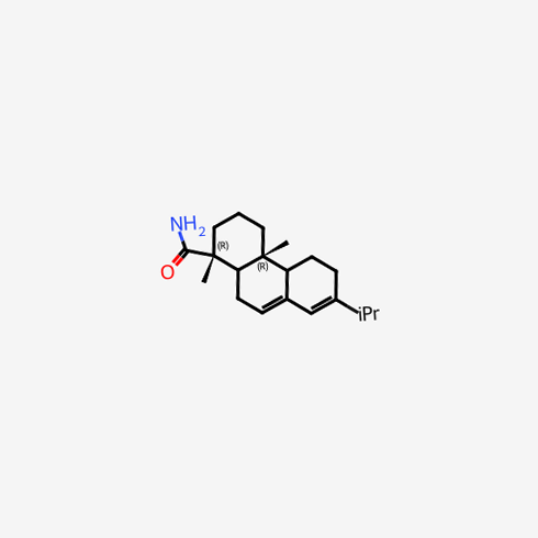 CC(C)C1=CC2=CCC3[C@](C)(CCC[C@@]3(C)C(N)=O)C2CC1